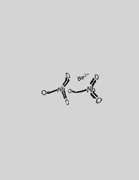 [Be+2].[O]=[Nb](=[O])[O-].[O]=[Nb](=[O])[O-]